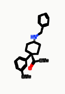 COc1cccc([C@]2(C(=O)OC)CC[C@H](NCc3ccccc3)CC2)c1